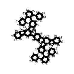 c1ccc(-c2cccc(-c3ccccc3)c2-c2ccc3c(c2)c2c4sc5ccccc5c4cc4c5cc6c(cc5n3c42)c2cc3c4ccccc4sc3c3c4cc(-c5c(-c7ccccc7)cccc5-c5ccccc5)ccc4n6c23)cc1